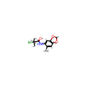 CC(=O)c1cc2c(cc1NC(=O)C(C)(C)Br)OCO2